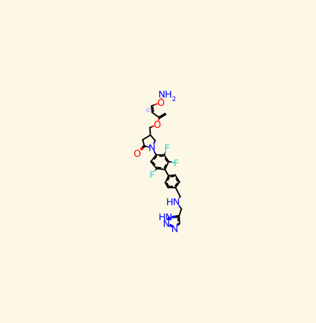 C=C(/C=C\ON)OCC1CC(=O)N(c2cc(F)c(-c3ccc(CNCc4cnn[nH]4)cc3)c(F)c2F)C1